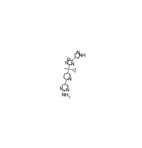 C[C@@](c1ccc(-c2cnc(N)nc2)nc1)(c1noc(-c2cn[nH]c2)n1)C1CC1